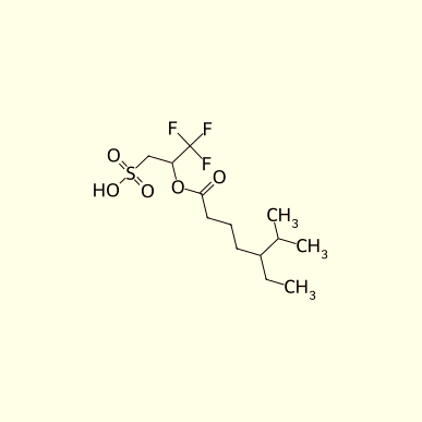 CCC(CCCC(=O)OC(CS(=O)(=O)O)C(F)(F)F)C(C)C